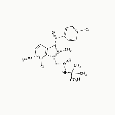 COc1ccc2c(c1Cl)c(CC(=O)NC(C)(C)C(=O)O)c(C)n2C(=O)c1ccc(Cl)cc1